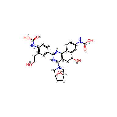 O=C(O)Nc1ccc(-c2nc(-c3ccc(NC(=O)O)c(CCO)c3)nc(N3CC4CCC(C3)O4)c2CCO)cc1